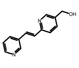 OCc1ccc(C=Cc2cccnc2)nc1